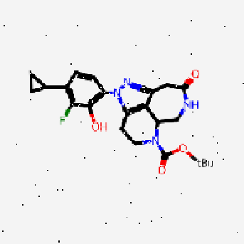 CC(C)(C)OC(=O)N1CCc2c3c(nn2-c2ccc(C4CC4)c(F)c2O)CC(=O)NCC31